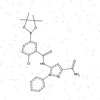 CC1(C)OB(c2ccc(Cl)c(C(=O)Nc3cc(C(N)=O)nn3-c3ccccc3)c2)OC1(C)C